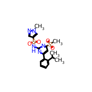 CC(C)c1ccccc1-c1cc(S(C)(=O)=O)nc(NS(=O)(=O)c2cnn(C)c2)n1